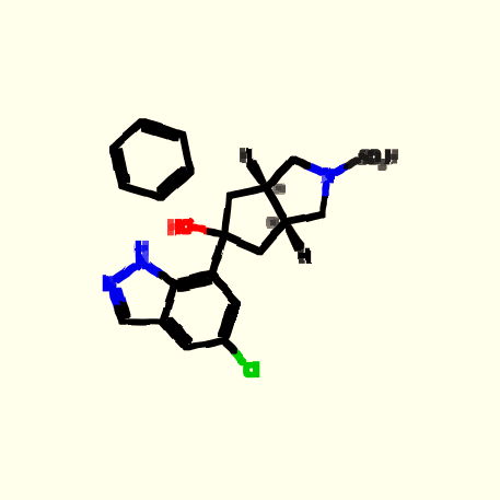 O=S(=O)(O)N1C[C@@H]2CC(O)(c3cc(Cl)cc4cn[nH]c34)C[C@@H]2C1.c1ccccc1